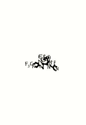 CCS(=O)(=O)c1c(-c2nc3cc(C(F)(F)F)ncc3n2C)nc(-c2ccncc2F)n1C